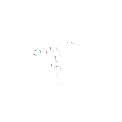 Cc1nnc([C@H]2CC[C@H](NC(=O)C(=O)Nc3ccc(Cl)cn3)[C@H](NC(=O)c3ccc4c(n3)CCN(C)C4)C2)o1.O=C(O)CC(O)(CC(=O)O)C(=O)O